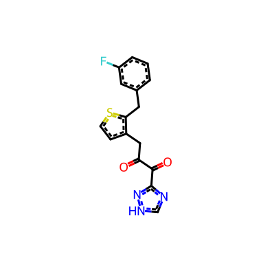 O=C(Cc1ccsc1Cc1cccc(F)c1)C(=O)c1nc[nH]n1